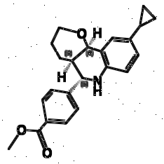 COC(=O)c1ccc([C@H]2Nc3ccc(C4CC4)cc3[C@@H]3OCCC[C@H]23)cc1